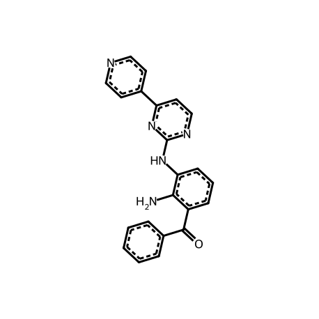 Nc1c(Nc2nccc(-c3ccncc3)n2)cccc1C(=O)c1ccccc1